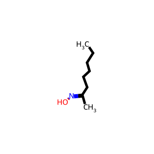 CCCCCCC(C)=NO